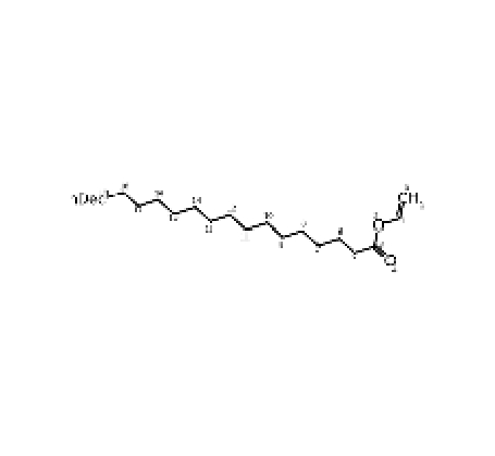 C=COC(=O)CCCCCCCCCCCCCCCCCCCCCCCC